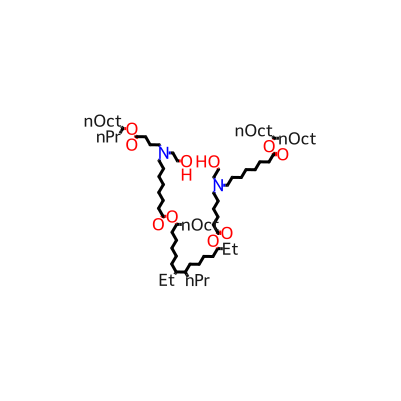 CCCCCCCCC(CCC)OC(=O)CCCN(CCO)CCCCCCCC(=O)OC(CCCCCCCC)CCCCCC(CC)C(CCC)CCCCC(CC)OC(=O)CCCCCN(CCO)CCCCCCCC(=O)OC(CCCCCCCC)CCCCCCCC